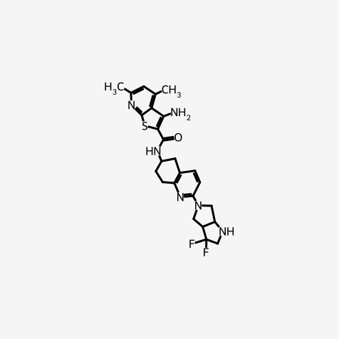 Cc1cc(C)c2c(N)c(C(=O)NC3CCc4nc(N5CC6NCC(F)(F)C6C5)ccc4C3)sc2n1